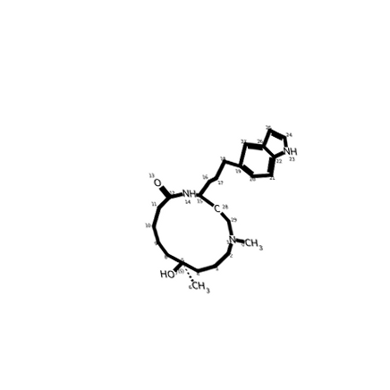 CN1CCC[C@@](C)(O)CCCCC(=O)NC(CCCc2ccc3[nH]ccc3c2)CC1